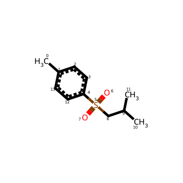 Cc1ccc(S(=O)(=O)CC(C)C)cc1